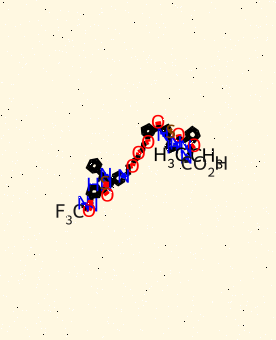 CC(C(=O)N[C@H](C(=O)N1CCCC1c1nc(C(=O)c2cccc(OCCOCCOCCN3CCC(CNC(=O)c4cccc(-c5noc(C(F)(F)F)n5)c4)(c4nc(-c5ccccc5)cs4)CC3)c2)cs1)C1CCCCC1)N(C)C(=O)O